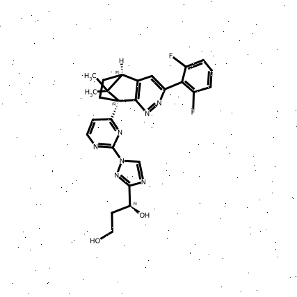 CC1(C)[C@H]2CC[C@]1(c1ccnc(-n3cnc([C@@H](O)CCO)n3)n1)c1nnc(-c3c(F)cccc3F)cc12